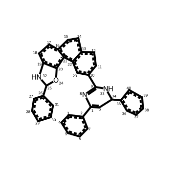 C1=C(c2ccccc2)N=C(c2ccc3ccc4ccc5c(c4c3c2)OC(c2ccccc2)N5)NC1c1ccccc1